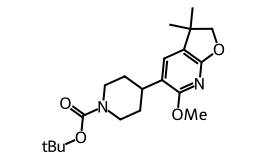 COc1nc2c(cc1C1CCN(C(=O)OC(C)(C)C)CC1)C(C)(C)CO2